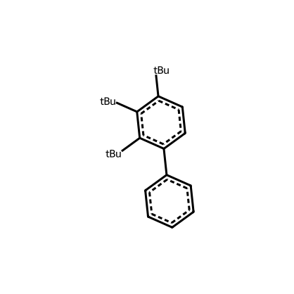 CC(C)(C)c1ccc(-c2ccccc2)c(C(C)(C)C)c1C(C)(C)C